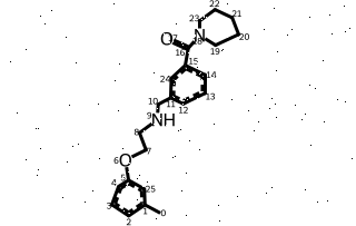 Cc1cccc(OCCNCc2cccc(C(=O)N3CCCCC3)c2)c1